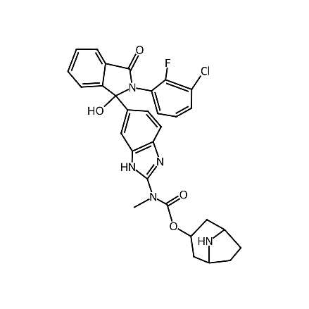 CN(C(=O)OC1CC2CCC(C1)N2)c1nc2ccc(C3(O)c4ccccc4C(=O)N3c3cccc(Cl)c3F)cc2[nH]1